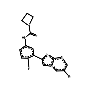 O=C(Nc1ccc(F)c(-c2cn3cc(Br)cnc3n2)c1)N1CCC1